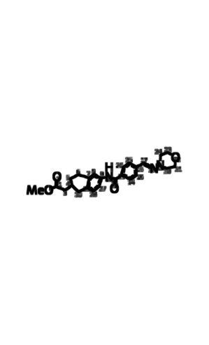 COC(=O)CC1CCc2cc(NC(=O)c3ccc(/C=N/N4CCOCC4)cc3)ccc2C1